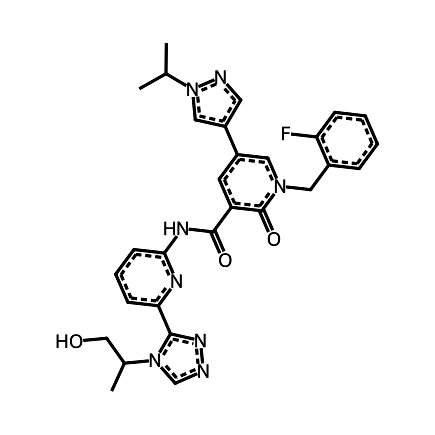 CC(C)n1cc(-c2cc(C(=O)Nc3cccc(-c4nncn4C(C)CO)n3)c(=O)n(Cc3ccccc3F)c2)cn1